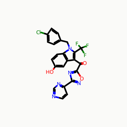 O=C(c1nc(-c2ccncn2)no1)c1c(C(F)(F)F)n(Cc2ccc(Cl)cc2)c2ccc(O)cc12